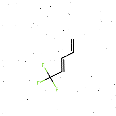 [CH]=CC=CC(F)(F)F